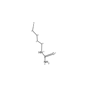 NC(=O)NCCCCI